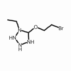 CCN1NNNC1OCCBr